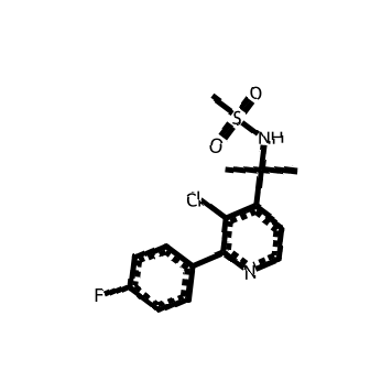 CC(C)(NS(C)(=O)=O)c1ccnc(-c2ccc(F)cc2)c1Cl